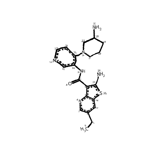 CCc1cnc2c(C(=O)Nc3cnccc3N3CCCC(N)C3)c(N)sc2c1